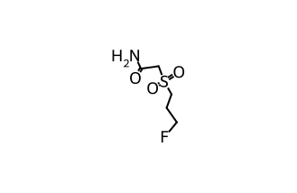 NC(=O)CS(=O)(=O)CCCF